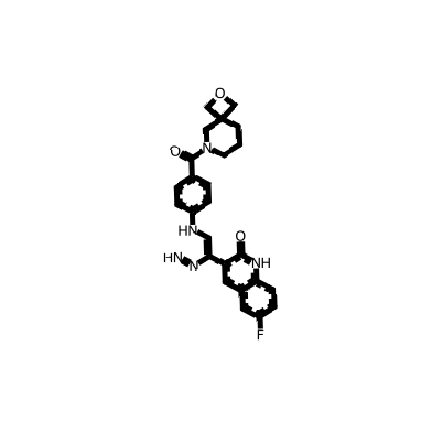 N=N/C(=C\Nc1ccc(C(=O)N2CCCC3(COC3)C2)cc1)c1cc2cc(F)ccc2[nH]c1=O